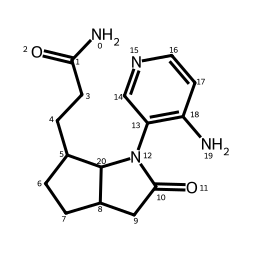 NC(=O)CCC1CCC2CC(=O)N(c3cnccc3N)C12